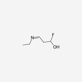 CC/N=C\CC(O)F